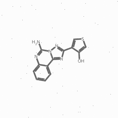 Nc1nc2ccccc2c2nc(-c3cscc3O)nn12